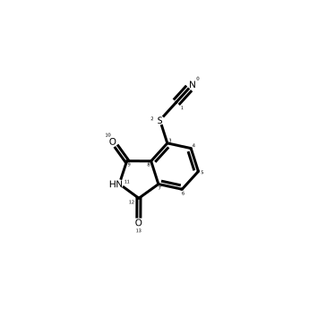 N#CSc1cccc2c1C(=O)NC2=O